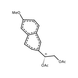 COc1ccc2cc([C@H](COC(C)=O)OC(C)=O)ccc2c1